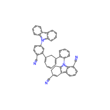 N#CC1=Cc2c(n(-c3ccccc3C3=CC=CC=C(c4cc(-n5c6ccccc6c6ccccc65)ccc4C#N)C3)c3c(C#N)cccc23)CC1